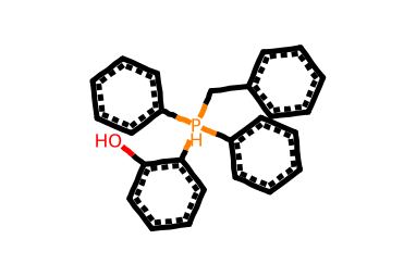 Oc1ccccc1[PH](Cc1ccccc1)(c1ccccc1)c1ccccc1